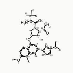 COc1ccc2c(O[C@H]3CN(C(=O)[C@@H](N)C(C)(C)C)[C@H](C(N)=O)[C@@H]3C)cc(-c3nc(C(C)C)cs3)nc2c1C